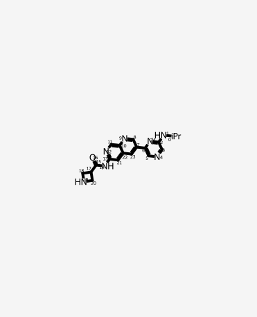 CC(C)Nc1cncc(-c2cnc3cnc(NC(=O)C4CNC4)cc3c2)n1